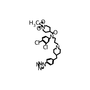 CS(=O)(=O)N1CCC(C(=O)N(CCCN2CCC(Cc3ccc(-n4cnnn4)cc3)CC2)c2ccc(Cl)c(Cl)c2)CC1